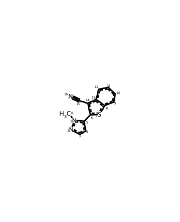 Cn1nccc1-c1sc2ccccc2c1C#N